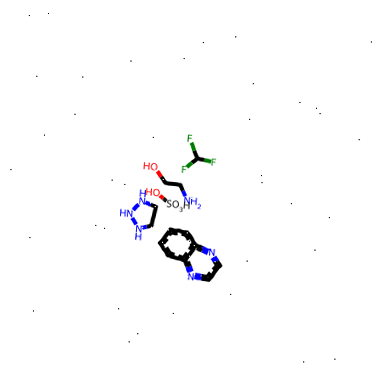 C1CNNN1.FC(F)F.NCCO.O=S(=O)(O)O.c1ccc2nccnc2c1